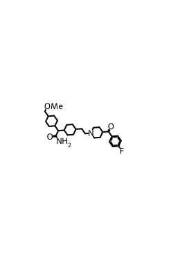 COCC1CCC(C(C(N)=O)C2CCC(CCN3CCC(C(=O)c4ccc(F)cc4)CC3)CC2)CC1